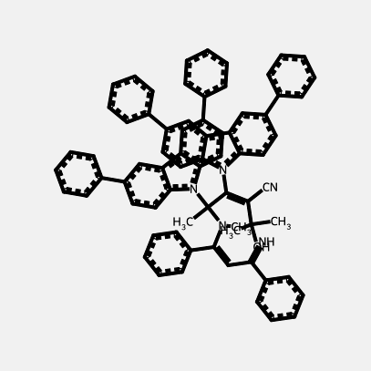 CN(/C(=C\C(=N)c1ccccc1)c1ccccc1)C(C)(/C(=C(/C#N)C(C)(C)O)n1c2ccc(-c3ccccc3)cc2c2cc(-c3ccccc3)ccc21)n1c2ccc(-c3ccccc3)cc2c2cc(-c3ccccc3)ccc21